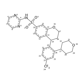 O=S(=O)(Nc1ncccn1)c1ccc2c(c1)OCCC2c1ccc(C(F)(F)F)cc1C1CCOCC1